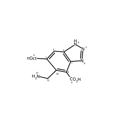 CCCCCCCCc1cc2[nH]nnc2c(C(=O)O)c1CN